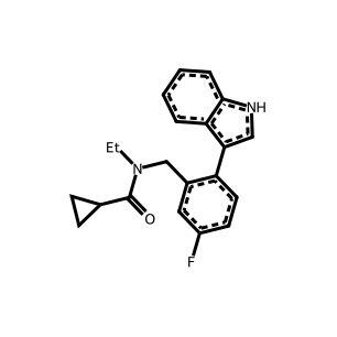 CCN(Cc1cc(F)ccc1-c1c[nH]c2ccccc12)C(=O)C1CC1